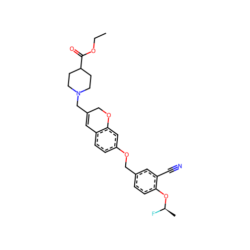 CCOC(=O)C1CCN(CC2=Cc3ccc(OCc4ccc(O[C@@H](C)F)c(C#N)c4)cc3OC2)CC1